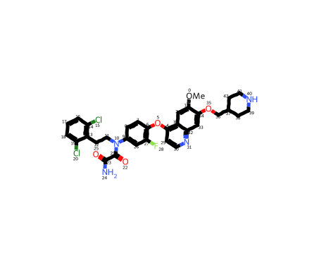 COc1cc2c(Oc3ccc(N(CCc4c(Cl)cccc4Cl)C(=O)C(N)=O)cc3F)ccnc2cc1OCC1CCNCC1